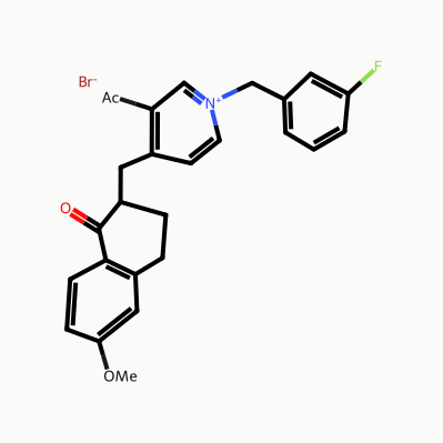 COc1ccc2c(c1)CCC(Cc1cc[n+](Cc3cccc(F)c3)cc1C(C)=O)C2=O.[Br-]